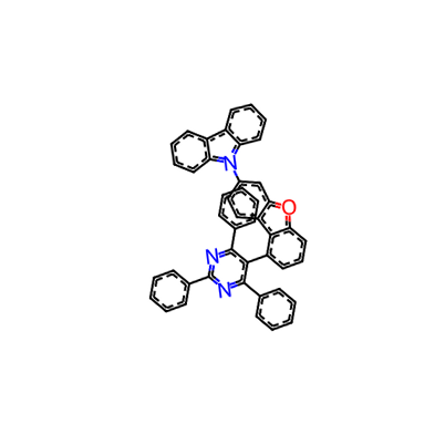 c1ccc(-c2nc(-c3ccccc3)c(-c3cccc4oc5cc(-n6c7ccccc7c7ccccc76)ccc5c34)c(-c3ccccc3)n2)cc1